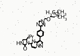 CC(C)C1CNC(=O)N1c1ccn2ncc(-c3ccc(-c4ncn(COCC[Si](C)(C)C)n4)cc3)c2n1